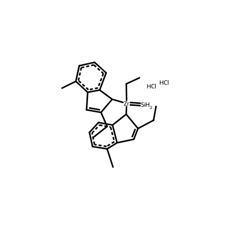 CCC1=Cc2c(C)cccc2[CH]1[Zr](=[SiH2])([CH2]C)[CH]1C(CC)=Cc2c(C)cccc21.Cl.Cl